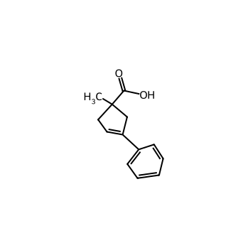 CC1(C(=O)O)CC=C(c2ccccc2)C1